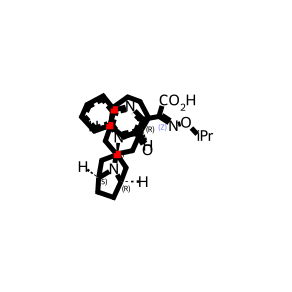 CC(C)O/N=C(\C(=O)O)c1nc2ccccc2n([C@H]2C[C@H]3CC[C@@H](C2)N3C2C[C@H]3CCCC[C@@H](C2)C3)c1=O